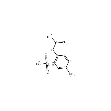 CC(C)Cc1ccc(N)cc1S(=O)(=O)O